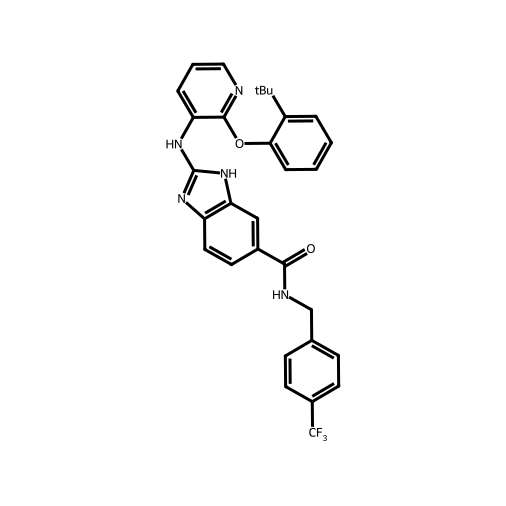 CC(C)(C)c1ccccc1Oc1ncccc1Nc1nc2ccc(C(=O)NCc3ccc(C(F)(F)F)cc3)cc2[nH]1